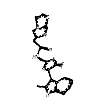 Cc1[nH]c2ccccc2c1-c1nc(NC(=O)Cc2cn3ccsc3n2)sc1F